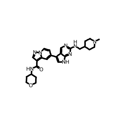 CN1CCC(CNc2ncc3c(-c4ccn5ncc(C(=O)NC6CCOCC6)c5c4)c[nH]c3n2)CC1